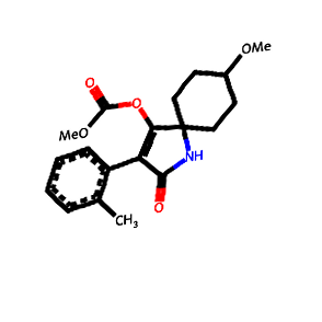 COC(=O)OC1=C(c2ccccc2C)C(=O)NC12CCC(OC)CC2